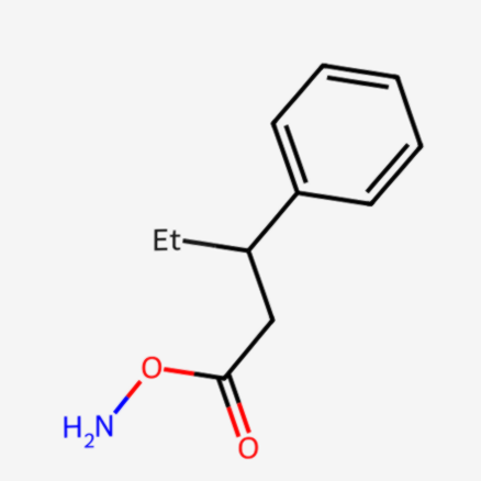 CCC(CC(=O)ON)c1ccccc1